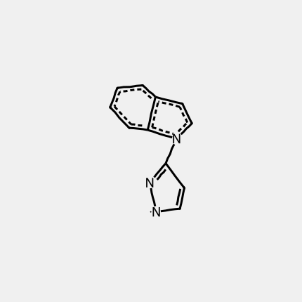 C1=CC(n2ccc3ccccc32)=N[N]1